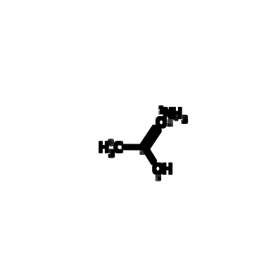 CC(=O)O.[1NH3]